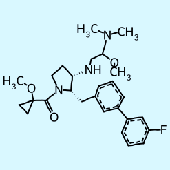 COC(CN[C@H]1CCN(C(=O)C2(OC)CC2)[C@H]1Cc1cccc(-c2cccc(F)c2)c1)N(C)C